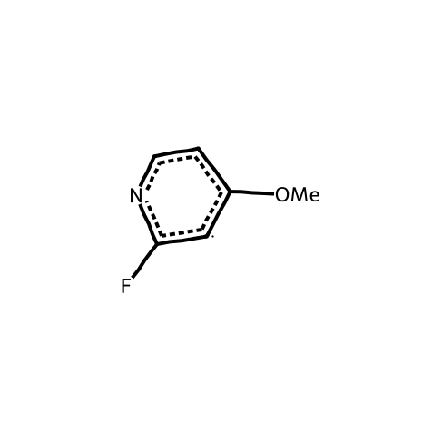 COc1[c]c(F)ncc1